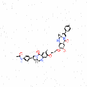 COc1cc2c(cc1OCCCOc1cc3c(cc1C)C(=O)N1C=C(c4ccc(NC(C)=O)cc4)C[C@H]1C=N3)N=C[C@@H]1CC(c3ccc(C)cc3)=CN1C2=O